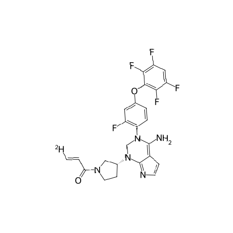 [2H]/C=C/C(=O)N1CC[C@@H](N2CN(c3ccc(Oc4c(F)c(F)cc(F)c4F)cc3F)C(N)=C3C=CN=C32)C1